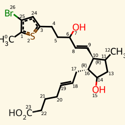 Cc1sc(CCC(O)C=C[C@H]2C(C)CC(O)[C@@H]2CC=CCCCC(=O)O)cc1Br